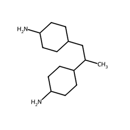 CC(CC1CCC(N)CC1)C1CCC(N)CC1